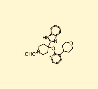 O=CN1CCC(Oc2ncccc2C2CCOCC2)(c2nc3ccccc3[nH]2)CC1